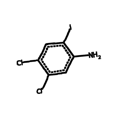 Nc1cc(Cl)c(Cl)cc1I